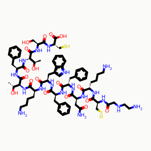 C[C@@H](O)[C@H](NC(=O)[C@H](Cc1ccccc1)NC(=O)[C@@H](NC(=O)[C@H](CCCCN)NC(=O)[C@@H](Cc1c[nH]c2ccccc12)NC(=O)[C@H](Cc1ccccc1)NC(=O)[C@H](Cc1ccccc1)NC(=O)[C@H](CC(N)=O)NC(=O)[C@H](CCCCN)NC(=O)[C@H](CS)NC(=O)CNCCN)[C@@H](C)O)C(=O)N[C@@H](CO)C(=O)N[C@@H](CS)C(=O)O